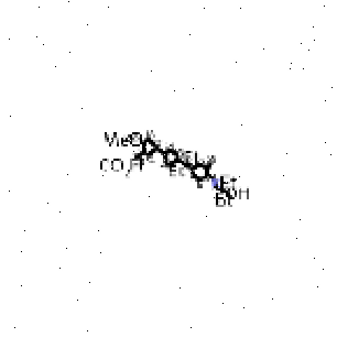 CCC(O)(/C=C/c1ccc(C(CC)(CC)c2ccc(-c3ccc(OC)c(CC(=O)O)c3)cc2)cc1C)CC